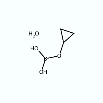 O.OB(O)OC1CC1